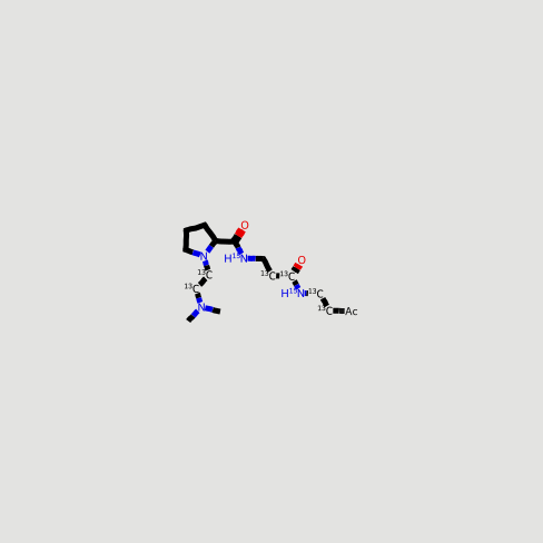 C[13C](=O)[13CH2][13CH2][15NH][13C](=O)[13CH2]C[15NH]C(=O)C1CCCN1[13CH2][13CH2]N(C)C